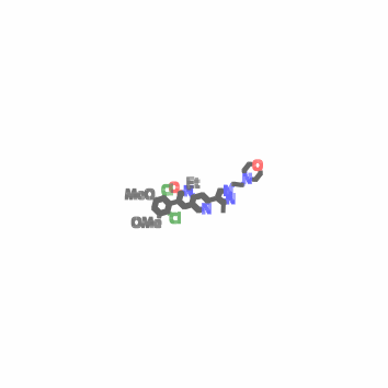 CCn1c(=O)c(-c2c(Cl)c(OC)cc(OC)c2Cl)cc2cnc(-c3cn(CCN4CCOCC4)nc3C)cc21